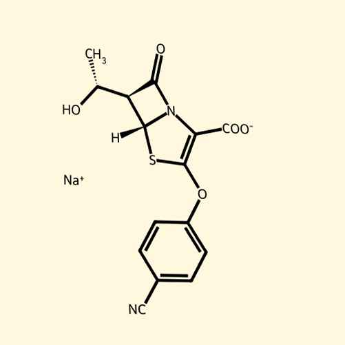 C[C@@H](O)[C@H]1C(=O)N2C(C(=O)[O-])=C(Oc3ccc(C#N)cc3)S[C@H]12.[Na+]